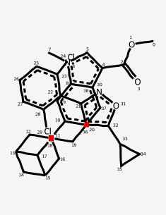 COC(=O)c1cn(C)c2cc(N3CC4CC(C3)C4OCc3c(-c4c(Cl)cccc4Cl)noc3C3CC3)ccc12